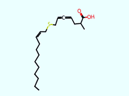 CCCCCCCCC/C=C\CSCC=C=CCC(C)C(=O)O